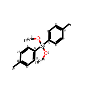 CCCO[Si](OCCC)(c1ccc(C)cc1)c1ccc(C)cc1